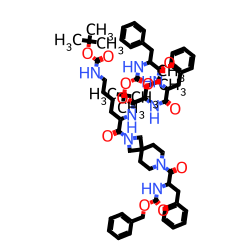 CC(C)CC(NC(=O)C(Cc1ccccc1)NC(=O)C(Cc1ccccc1)NC(=O)OC(C)(C)C)C(=O)NC(CCCCNC(=O)OC(C)(C)C)C(=O)N1CC2(CCN(C(=O)C(Cc3ccccc3)NC(=O)OCc3ccccc3)CC2)C1